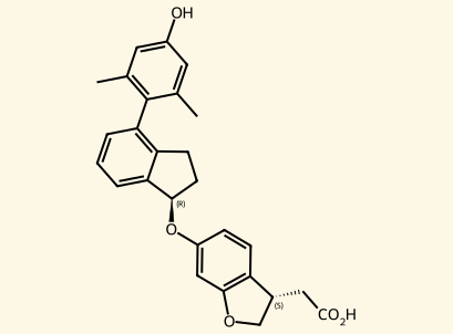 Cc1cc(O)cc(C)c1-c1cccc2c1CC[C@H]2Oc1ccc2c(c1)OC[C@H]2CC(=O)O